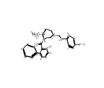 C[C@@H]1CC[C@@H](COc2ccc(F)cn2)CN1C(=O)c1ncccc1-c1ccccc1